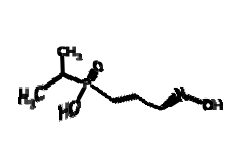 CC(C)P(=O)(O)CCC=NO